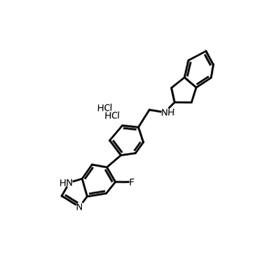 Cl.Cl.Fc1cc2nc[nH]c2cc1-c1ccc(CNC2Cc3ccccc3C2)cc1